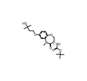 CN1C(=O)[C@@H](NC(=O)OC(C)(C)C)COc2ccc(OCCC(C)(C)O)cc21